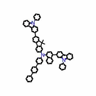 CC1(C)c2cc(-c3ccc4c(c3)c3ccccc3n4-c3ccccc3)ccc2-c2ccc(N(c3ccc(-c4ccc(-c5ccccc5)cc4)cc3)c3ccc(-c4ccc5c6ccccc6n(-c6ccccc6)c5c4)c4ccccc34)cc21